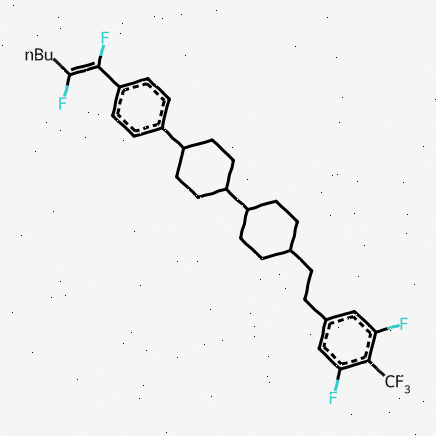 CCCC/C(F)=C(\F)c1ccc(C2CCC(C3CCC(CCc4cc(F)c(C(F)(F)F)c(F)c4)CC3)CC2)cc1